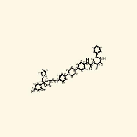 CC(NCc1ccccc1)C(C)N(C)C(=O)Nc1ccc(N2CCN(c3ccc(OCC4COC(Cn5cncn5)(c5ccc(F)cc5F)O4)cc3)CC2)cc1